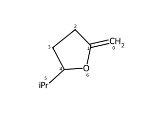 C=C1CCC(C(C)C)O1